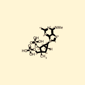 CNc1nc(I)nc2c1ncn2C1C2[C@H]1C[C@](C)(COP(=O)(O)O)[C@H]2OP(=O)(O)O